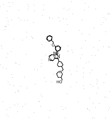 N[N+]12C=CN=CC1=C(C1CCC(CN3CCCC(CO)C3)CC1)N=C2c1cccc(OCc2ccccc2)c1